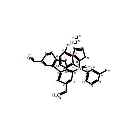 C=Cc1ccc2c(c1)-c1cc(C=C)c[c]([Zr](=[CH2])([C]3=CC=CC3)([c]3cccc(F)c3)[c]3cccc(F)c3)c1C2.Cl.Cl